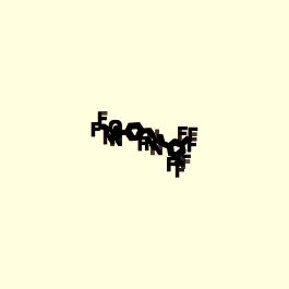 Fc1cc(-c2nnc(C(F)F)o2)ccc1Cn1cc(-c2cc(C(F)(F)F)cc(C(F)(F)F)c2)nn1